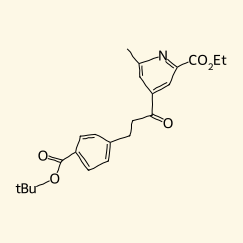 CCOC(=O)c1cc(C(=O)CCc2ccc(C(=O)OC(C)(C)C)cc2)cc(C)n1